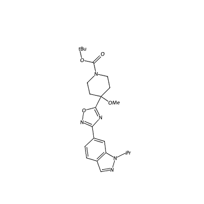 COC1(c2nc(-c3ccc4cnn(C(C)C)c4c3)no2)CCN(C(=O)OC(C)(C)C)CC1